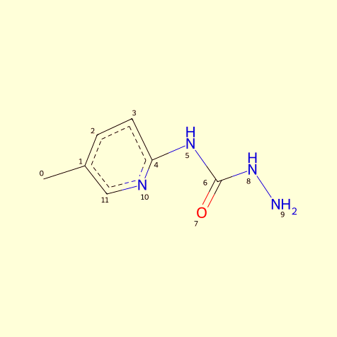 Cc1ccc(NC(=O)NN)nc1